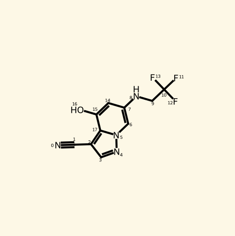 N#Cc1cnn2cc(NCC(F)(F)F)cc(O)c12